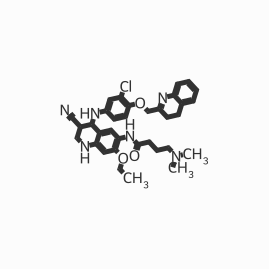 CCOc1cc2c(cc1NC(=O)CCCN(C)C)C(Nc1ccc(OCC3=Nc4ccccc4CC3)c(Cl)c1)C(C#N)CN2